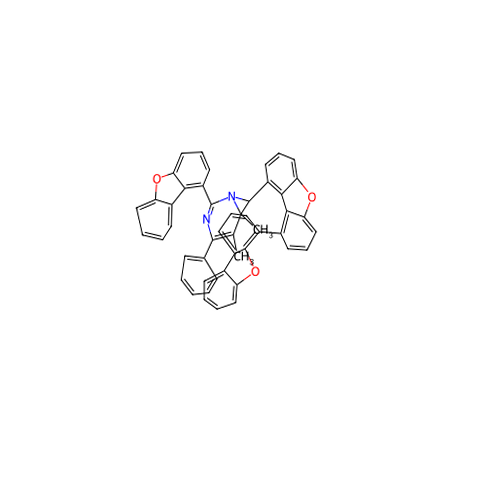 CC1=C(c2ccccc2)N=C(c2cccc3oc4ccccc4c23)N2C(c3cccc4oc5cccc(-c6cccc7c6oc6ccccc67)c5c34)C12C